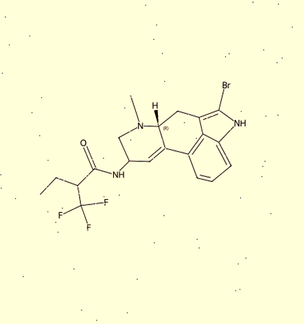 CCC(C(=O)NC1C=C2c3cccc4[nH]c(Br)c(c34)C[C@H]2N(C)C1)C(F)(F)F